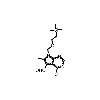 Cc1c(C=O)c2c(Cl)ncnc2n1COCC[Si](C)(C)C